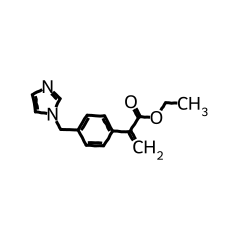 C=C(C(=O)OCC)c1ccc(Cn2ccnc2)cc1